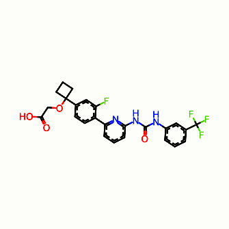 O=C(O)COC1(c2ccc(-c3cccc(NC(=O)Nc4cccc(C(F)(F)F)c4)n3)c(F)c2)CCC1